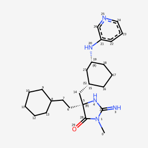 CN1C(=N)N[C@](CCC2CCCCC2)(C[C@H]2CCC[C@@H](Nc3cccnc3)C2)C1=O